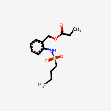 CCCCS(=O)(=O)Nc1ccccc1COC(=O)CC